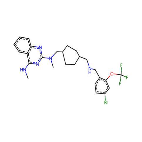 CNc1nc(N(C)CC2CCC(CNCc3ccc(Br)cc3OC(F)(F)F)CC2)nc2ccccc12